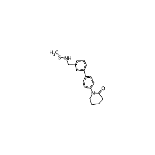 CSNCc1cccc(-c2ccc(N3CCCCC3=O)cc2)c1